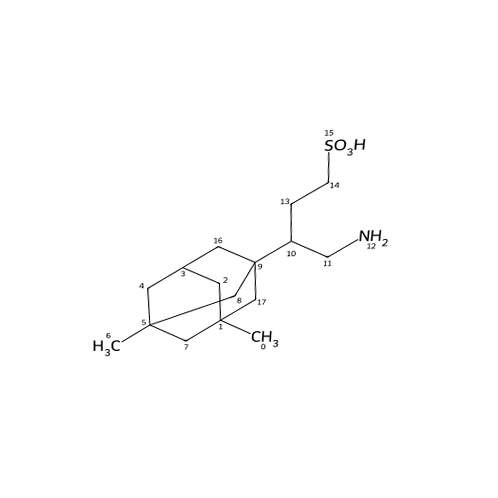 CC12CC3CC(C)(C1)CC(C(CN)CCS(=O)(=O)O)(C3)C2